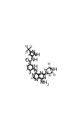 Cc1ccc(C(=O)Nc2cc(C(C)(C)C)n[nH]2)cc1Nc1ncnc2c(N)nc(N3C[C@@H](C)N[C@@H](C)C3)nc12